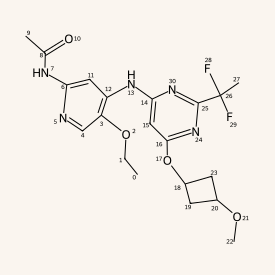 CCOc1cnc(NC(C)=O)cc1Nc1cc(OC2CC(OC)C2)nc(C(C)(F)F)n1